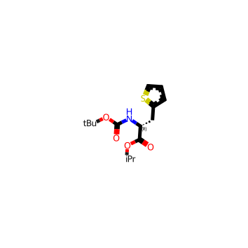 CC(C)OC(=O)[C@@H](Cc1cccs1)NC(=O)OC(C)(C)C